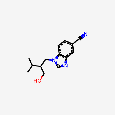 CC(C)C(CO)Cn1cnc2cc(C#N)ccc21